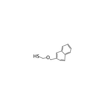 SCOCc1ccc2ccccc2c1